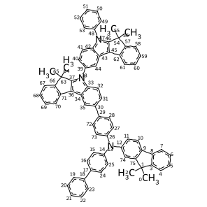 CC1(C)c2ccccc2-c2ccc(N(c3ccc(-c4ccccc4)cc3)c3ccc(-c4ccc5c(c4)c4c(n5-c5ccc6c(c5)c5c(n6-c6ccccc6)C(C)(C)c6ccccc6-5)C(C)(C)c5ccccc5-4)cc3)cc21